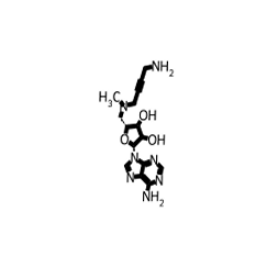 CN(CC#CCN)C[C@H]1O[C@@H](n2cnc3c(N)ncnc32)C(O)C1O